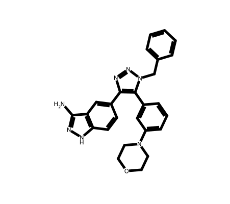 Nc1n[nH]c2ccc(-c3nnn(Cc4ccccc4)c3-c3cccc(N4CCOCC4)c3)cc12